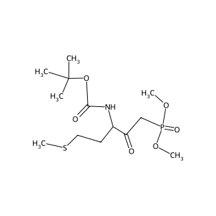 COP(=O)(CC(=O)C(CCSC)NC(=O)OC(C)(C)C)OC